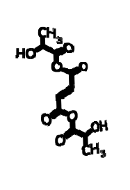 CC(O)C(=O)OC(=O)/C=C/C(=O)OC(=O)C(C)O